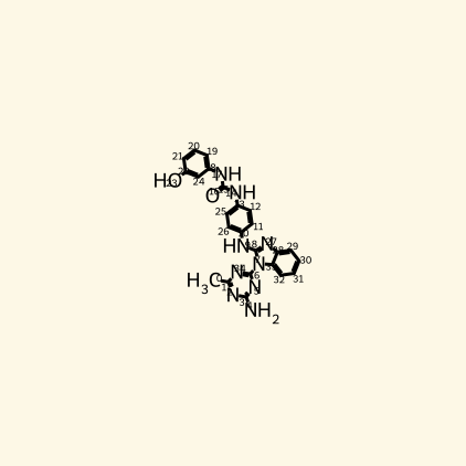 Cc1nc(N)nc(-n2c(Nc3ccc(NC(=O)Nc4cccc(O)c4)cc3)nc3ccccc32)n1